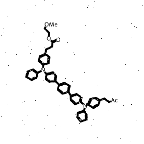 COCCOC(=O)CCc1ccc(N(c2ccccc2)c2ccc(-c3ccc(-c4ccc(N(c5ccccc5)c5ccc(CCC(C)=O)cc5)cc4)cc3)cc2)cc1